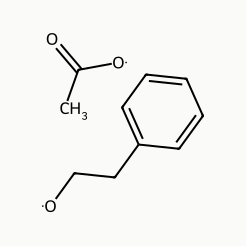 CC([O])=O.[O]CCc1ccccc1